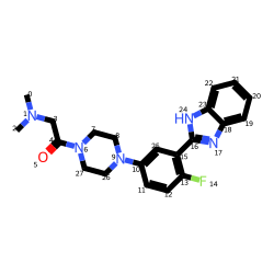 CN(C)CC(=O)N1CCN(c2ccc(F)c(-c3nc4ccccc4[nH]3)c2)CC1